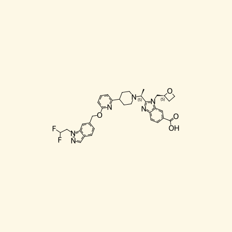 C[C@@H](c1nc2ccc(C(=O)O)cc2n1C[C@@H]1CCO1)N1CCC(c2cccc(OCc3ccc4cnn(CC(F)F)c4c3)n2)CC1